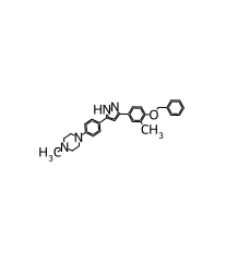 Cc1cc(-c2cc(-c3ccc(N4CCN(C)CC4)cc3)[nH]n2)ccc1OCc1ccccc1